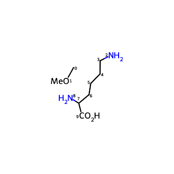 COC.NCCCCC(N)C(=O)O